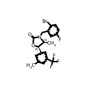 Cc1cc([C@H]2OC(=O)N(Cc3cc(F)ccc3Br)[C@H]2C)cc(C(F)(F)F)c1